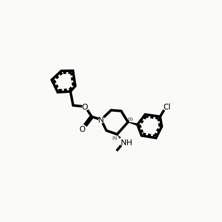 CN[C@@H]1CN(C(=O)OCc2ccccc2)CC[C@H]1c1cccc(Cl)c1